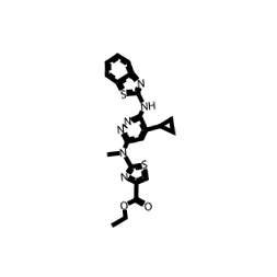 CCOC(=O)c1csc(N(C)c2cc(C3CC3)c(Nc3nc4ccccc4s3)nn2)n1